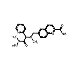 CCCCN(C)C(=O)C(c1ccccn1)N(C)Cc1ccc2nc(C(N)=O)ccc2c1